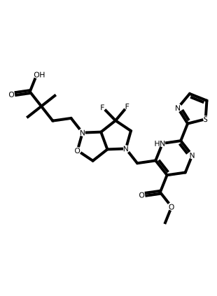 COC(=O)C1=C(CN2CC(F)(F)C3C2CON3CCC(C)(C)C(=O)O)NC(c2nccs2)=NC1